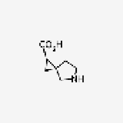 O=C(O)[C@@H]1C[C@]12CCNC2